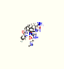 CN(C)CCC(=O)Nc1ccc2c(c1)[nH]c1c(C(N)=O)ccc(-c3cccc(NC(=O)c4ccc(F)cc4)c3CN)c12